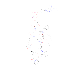 CC[C@H](C)[C@@H]([C@@H](CC(=O)N1CCC[C@H]1[C@H](OC)[C@@H](C)C(=O)N[C@@H](Cc1ccccc1)C(=O)O)OC)N(C)C(=O)[C@@H](NC(=O)C1[C@H]2CC[C@@H](C2)N1C(=O)CCCCCN1C(=O)CC(SCCNC(=O)CCNC(=O)[C@H](O)C(C)(C)COP(=O)(O)OP(=O)(O)OC[C@@H]2CC[C@H](n3cnc4c(N)ncnc43)O2)C1=O)C(C)C